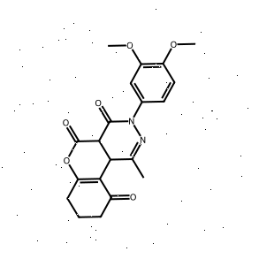 COc1ccc(N2N=C(C)C3C4=C(CCCC4=O)OC(=O)C3C2=O)cc1OC